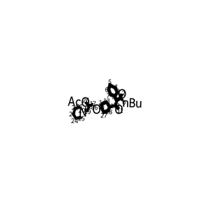 CCCCc1oc2ccccc2c1C(=O)c1ccc(OCC(CN2CCCCC2)OC(C)=O)cc1